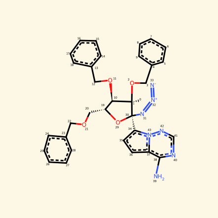 C[C@@]1(OCc2ccccc2)[C@H](OCc2ccccc2)[C@@H](COCc2ccccc2)O[C@@]1(N=[N+]=[N-])c1ccc2c(N)ncnn12